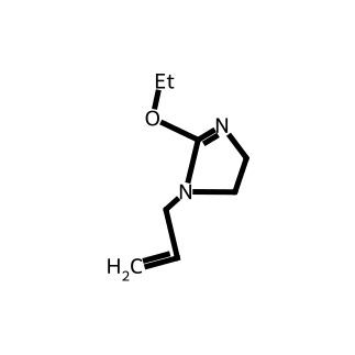 C=CCN1CCN=C1OCC